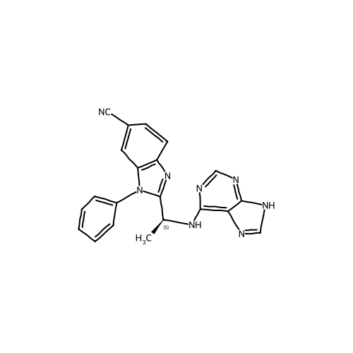 C[C@H](Nc1ncnc2[nH]cnc12)c1nc2ccc(C#N)cc2n1-c1ccccc1